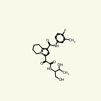 Cc1cc(NC(=O)c2cc(C(=O)C(=O)NC(CO)C(C)O)n3c2CCCC3)ccc1F